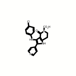 O=C(O)N1CCc2[nH]c(-c3ccncc3)c(Nc3ccc(Cl)cc3)c2C1=O